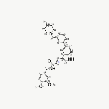 COc1ccc(CNC(=O)/C=C/c2c[nH]c3ncc(-c4cccc(CN5CCN(C)CC5)c4)cc23)cc1OC